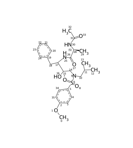 COc1ccc(S(=O)(=O)N(CC(C)C)CC(O)C(Cc2ccccc2)NC(=O)[C@H](C)NC(C)=O)cc1